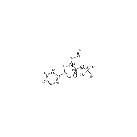 C=CCN(CC(C)c1ccccc1)C(=O)OC(C)(C)C